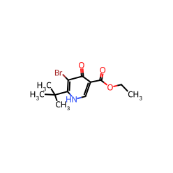 CCOC(=O)c1c[nH]c(C(C)(C)C)c(Br)c1=O